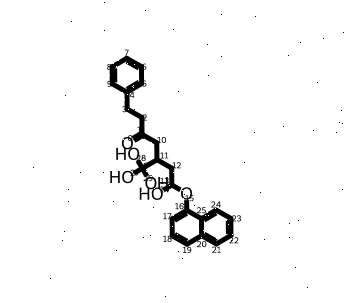 O=C(CCc1ccccc1)CC(CC(O)Oc1cccc2ccccc12)C(O)(O)O